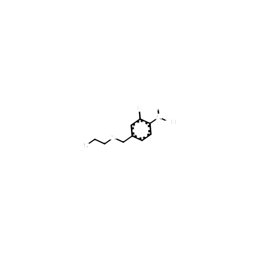 CN(C)c1ccc(CNCCN)cc1F